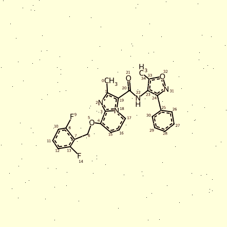 Cc1nc2c(OCc3c(F)cccc3F)cccn2c1C(=O)Nc1c(-c2ccccc2)noc1C